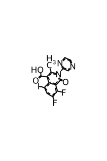 Cc1c(C(=O)O)c2c(I)cc(F)c(F)c2c(=O)n1-c1cnccn1